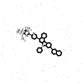 CC1(C)N=C(c2ccc(-c3cc4c(c5ccccc35)c3ccc(-c5ccc6ccccc6c5)cc3n4-c3ccccc3)cn2)SC1(C)C